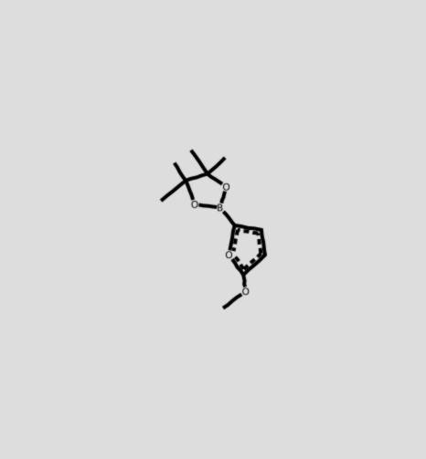 COc1ccc(B2OC(C)(C)C(C)(C)O2)o1